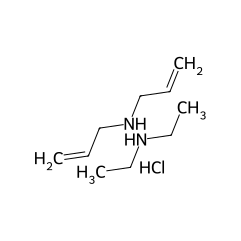 C=CCNCC=C.CCNCC.Cl